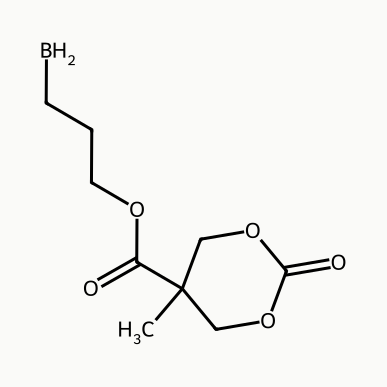 BCCCOC(=O)C1(C)COC(=O)OC1